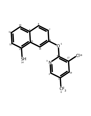 FC(F)(F)c1cnc(Oc2ccc3cccc(S)c3c2)c(Cl)c1